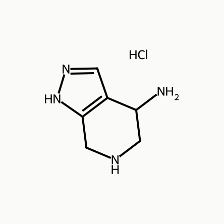 Cl.NC1CNCc2[nH]ncc21